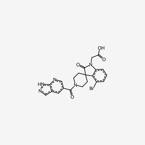 O=C(O)CN1C(=O)C2(CCN(C(=O)c3cnc4[nH]ncc4c3)CC2)c2c(Br)cccc21